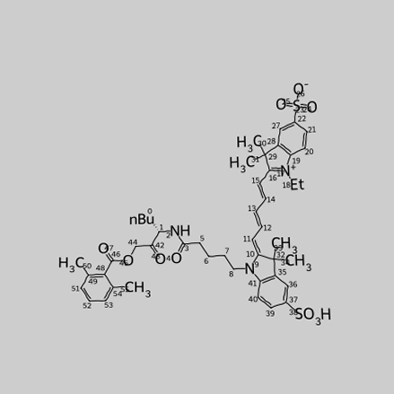 CCCC[C@H](NC(=O)CCCCN1/C(=C/C=C/C=C/C2=[N+](CC)c3ccc(S(=O)(=O)[O-])cc3C2(C)C)C(C)(C)c2cc(S(=O)(=O)O)ccc21)C(=O)COC(=O)c1c(C)cccc1C